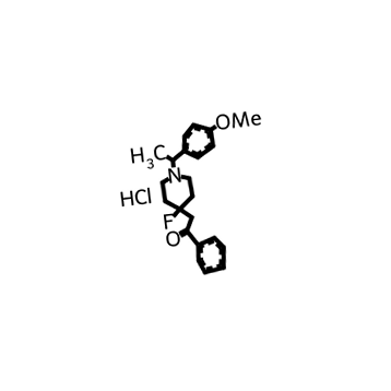 COc1ccc(C(C)N2CCC(F)(CC(=O)c3ccccc3)CC2)cc1.Cl